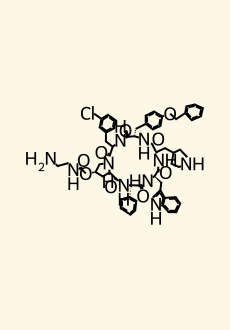 NCCNC(=O)O[C@@H]1C[C@H]2C(=O)N[C@@H](c3ccccc3)C(=O)N[C@H](Cc3c[nH]c4ccccc34)C(=O)NC(CC3CCNCC3)C(=O)N[C@@H](Cc3ccc(OCc4ccccc4)cc3)C(=O)NC(Cc3cccc(Cl)c3)C(=O)N2C1